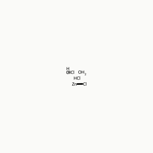 Cl.Cl.Cl.O.[Cl][Zn]